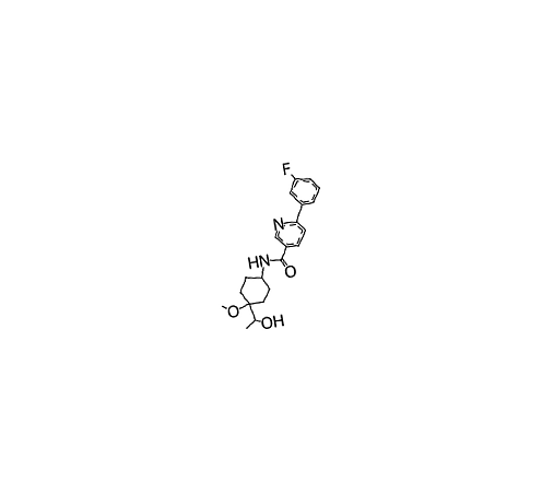 COC1(C(C)O)CCC(NC(=O)c2ccc(-c3cccc(F)c3)nc2)CC1